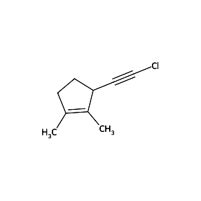 CC1=C(C)C(C#CCl)CC1